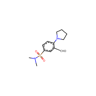 CN(C)S(=O)(=O)c1ccc(N2CCCC2)c(C=O)c1